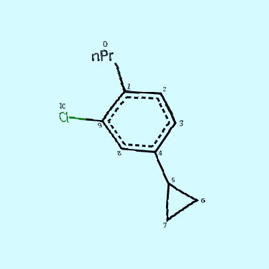 CCCc1ccc(C2CC2)cc1Cl